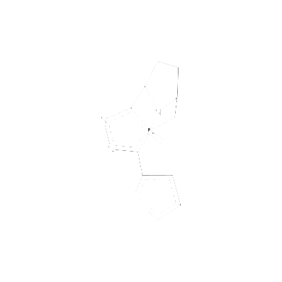 O=CN1C2CCC1c1nnc(-c3cccs3)n1C2